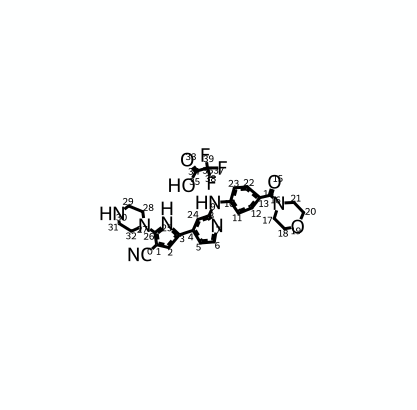 N#Cc1cc(-c2ccnc(Nc3ccc(C(=O)N4CCOCC4)cc3)c2)[nH]c1N1CCNCC1.O=C(O)C(F)(F)F